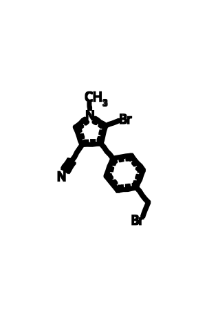 Cn1cc(C#N)c(-c2ccc(CBr)cc2)c1Br